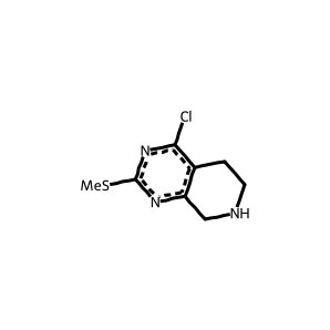 CSc1nc(Cl)c2c(n1)CNCC2